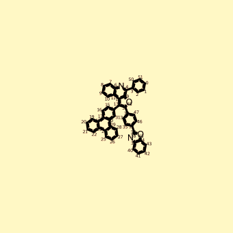 c1ccc(-c2nc3ccccc3c3c(-c4ccc5c6ccccc6c6ccccc6c5c4)c(-c4ccc(-c5nc6ccccc6o5)cc4)oc23)cc1